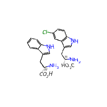 N[C@@H](Cc1c[nH]c2ccc(Cl)cc12)C(=O)O.N[C@@H](Cc1c[nH]c2ccccc12)C(=O)O